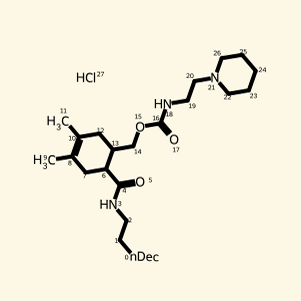 CCCCCCCCCCCCNC(=O)C1CC(C)=C(C)CC1COC(=O)NCCN1CCCCC1.Cl